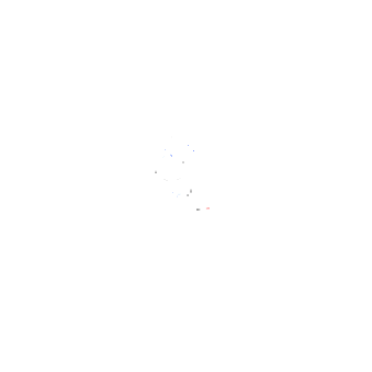 CCOC(=O)c1cc2c(ccn3cc(CCl)nc23)[nH]1